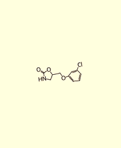 O=C1NCC(COc2cccc(Cl)c2)O1